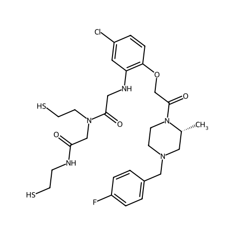 C[C@@H]1CN(Cc2ccc(F)cc2)CCN1C(=O)COc1ccc(Cl)cc1NCC(=O)N(CCS)CC(=O)NCCS